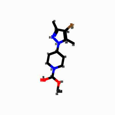 Cc1nn(C2CCN(C(O)OC(C)(C)C)CC2)c(C)c1Br